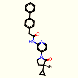 CC(C)[C@@]1(C2CC2)CCN(c2ccnc(NC(=O)Cc3ccc(-c4ccccc4)cc3)c2)C1=O